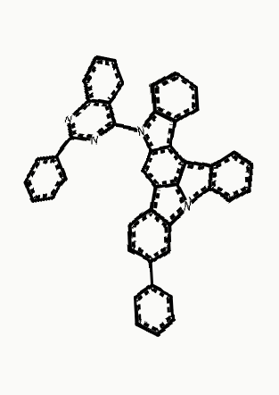 c1ccc(-c2ccc3c4cc5c(c6ccccc6n5-c5nc(-c6ccccc6)nc6ccccc56)c5c6ccccc6n(c3c2)c45)cc1